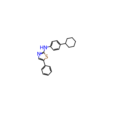 c1ccc(-c2cnc(Nc3ccc(C4CCCCC4)cc3)s2)cc1